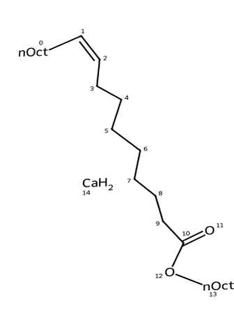 CCCCCCCC/C=C\CCCCCCCC(=O)OCCCCCCCC.[CaH2]